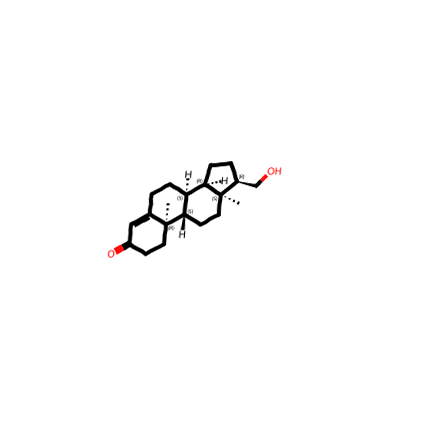 C[C@]12CC[C@H]3[C@@H](CCC4=CC(=O)CC[C@@]43C)[C@H]1CC[C@H]2CO